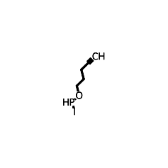 C#CCCCOPI